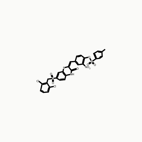 Cc1ccc(S(=O)(=O)Oc2ccc(C=C3Sc4cc(S(=O)(=O)Cc5c(Cl)cccc5Cl)ccc4NC3=O)cc2[N+](=O)[O-])cc1